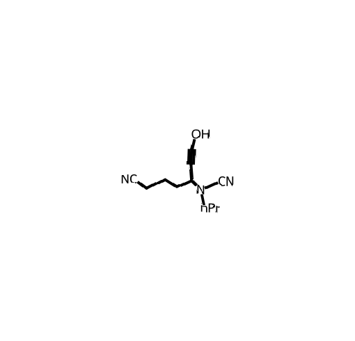 CCCN(C#N)C(C#CO)CCCC#N